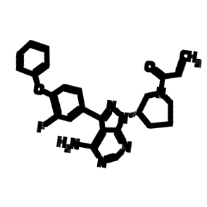 C=CC(=O)N1CCC[C@H](n2nc(-c3ccc(Oc4ccccc4)c(F)c3)c3c(N)ncnc32)C1